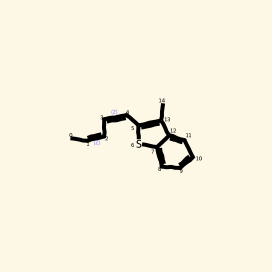 C/C=C\C=C/c1sc2ccccc2c1C